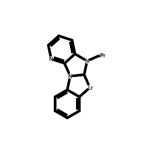 CC(C)N1c2cccnc2N2c3cccc[c]3[Lr][CH]21